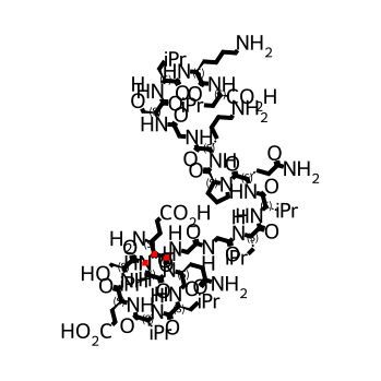 CC(C)C[C@H](NC(=O)[C@H](CCCCN)NC(=O)[C@H](CC(C)C)NC(=O)[C@H](CO)NC(=O)CNC(=O)[C@H](CCCCN)NC(=O)[C@@H]1CCCN1C(=O)[C@H](CCC(N)=O)NC(=O)[C@@H](NC(=O)[C@H](CC(C)C)NC(=O)CNC(=O)CNC(=O)CNC(=O)[C@H](CO)NC(=O)[C@H](CCC(=O)O)NC(=O)[C@@H](NC(=O)[C@H](CC(C)C)NC(=O)[C@H](CCC(N)=O)NC(=O)[C@@H](NC(=O)[C@@H](N)CCC(=O)O)C(C)C)C(C)C)C(C)C)C(=O)O